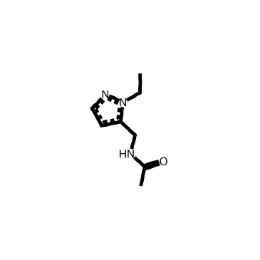 CCn1nccc1CNC(C)=O